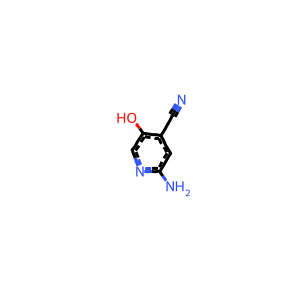 N#Cc1cc(N)ncc1O